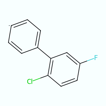 Fc1ccc(Cl)c(-c2cc[c]cc2)c1